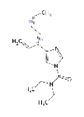 C=C/C(=C\C=C/C)c1cn(C(=O)N(CC)CC)cn1